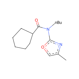 CCCCN(C(=O)C1CCCCC1)c1nc(C)co1